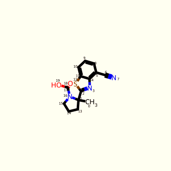 CC1(c2nc3c(C#N)cccc3s2)CCCN1C(=O)O